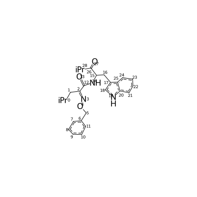 CC(C)CC(=NOCc1ccccc1)C(=O)NC(Cc1c[nH]c2ccccc12)C(=O)C(C)C